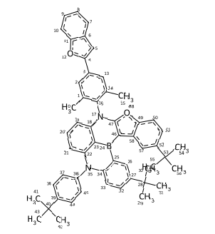 Cc1cc(-c2cc3ccccc3o2)cc(C)c1N1c2cccc3c2B(c2cc(C(C)(C)C)ccc2N3c2ccc(C(C)(C)C)cc2)c2c1oc1ccc(C(C)(C)C)cc21